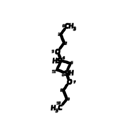 CCCO[SiH]1C[SiH](OCCC)C1